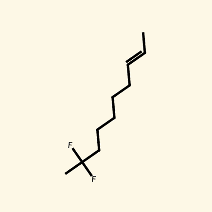 C/C=C/CCCCCC(C)(F)F